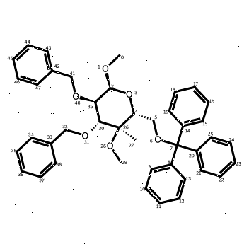 CO[C@H]1O[C@H](COC(c2ccccc2)(c2ccccc2)c2ccccc2)[C@@](C)(OC)[C@H](OCc2ccccc2)[C@H]1OCc1ccccc1